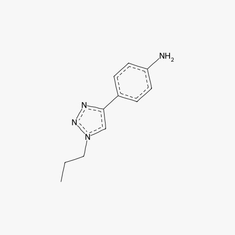 CCCn1cc(-c2ccc(N)cc2)nn1